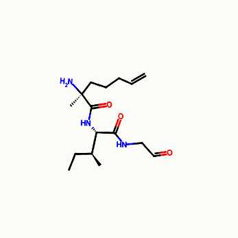 C=CCCC[C@](C)(N)C(=O)N[C@H](C(=O)NCC=O)[C@@H](C)CC